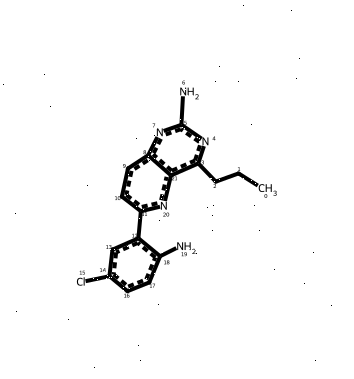 CCCc1nc(N)nc2ccc(-c3cc(Cl)ccc3N)nc12